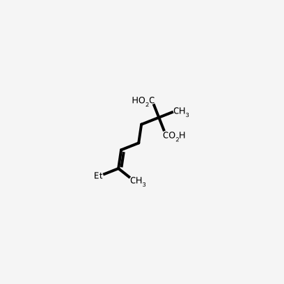 CCC(C)=CCCC(C)(C(=O)O)C(=O)O